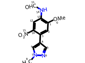 COc1cc(-c2cnn(C)c2)c([N+](=O)[O-])cc1NC=O